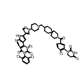 CCn1c(=O)n(-c2c(Cl)cccc2Cl)c(=O)c2cnc3[nH]c(-c4cnn(C5CCN(CC6CCC7(CC6)CCN(C(=O)c6ccc(Cl)c(N8CCC(=O)NC8=O)c6)CC7)CC5)c4)cc3c21